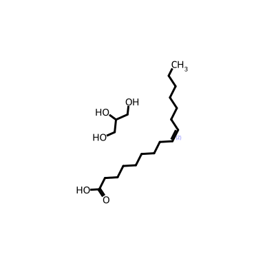 CCCCCC/C=C\CCCCCCCC(=O)O.OCC(O)CO